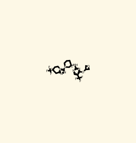 FC(F)(F)c1cnc(N[C@@H]2CCCN(c3nnc4n3CC[C@H](C(F)(F)F)C4)C2)nc1OC1COC1